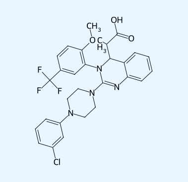 COc1ccc(C(F)(F)F)cc1N1C(N2CCN(c3cccc(Cl)c3)CC2)=Nc2ccccc2C1C(C)C(=O)O